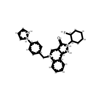 O=c1c2cn(Cc3ccc(-n4cccn4)cc3)c3ccccc3c-2nn1C1CCCCC1F